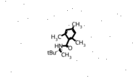 Cc1cc(C)c(C(=O)N[C@H](C)C(C)(C)C)c(C)c1